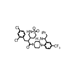 CC(C)CC(N)c1cc(C(F)(F)F)ccc1N1CCN(C(=O)C(Cc2ccc(Cl)cc2Cl)C2CCS(=O)(=O)NC2)CC1